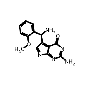 COc1ccccc1C(N)C1=C2C(=O)N=C(N)N=C2N=C1